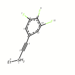 CC[SiH2]C#Cc1cc(F)c(F)c(F)c1